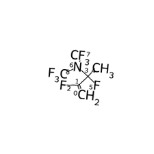 C=C(F)C(C)(F)N(C(F)(F)F)C(F)(F)F